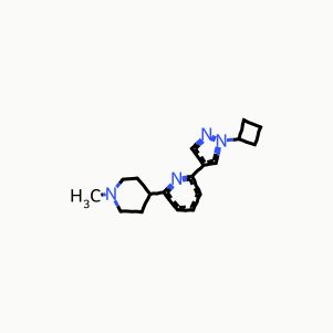 CN1CCC(c2cccc(-c3cnn(C4CCC4)c3)n2)CC1